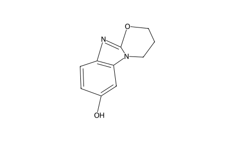 Oc1ccc2nc3n(c2c1)CCCO3